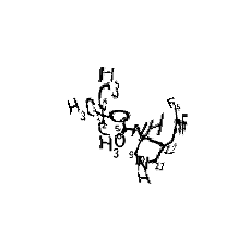 CC(C)(C)OC(=O)NC1CNCC1C(F)F